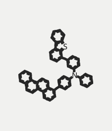 c1ccc(N(c2ccc(-c3cccc4c3ccc3c5ccccc5ccc43)cc2)c2cccc(-c3cccc4c3sc3ccccc34)c2)cc1